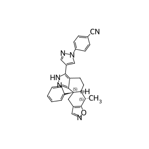 C[C@@H]1c2oncc2C[C@]2(c3ccccc3)c3n[nH]c(-c4cnn(-c5ccc(C#N)cc5)c4)c3CC[C@@H]12